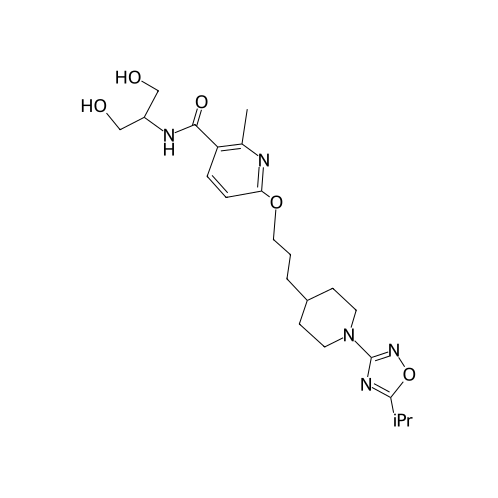 Cc1nc(OCCCC2CCN(c3noc(C(C)C)n3)CC2)ccc1C(=O)NC(CO)CO